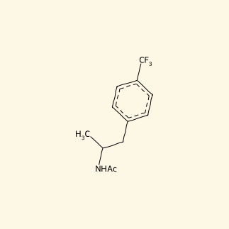 CC(=O)NC(C)Cc1ccc(C(F)(F)F)cc1